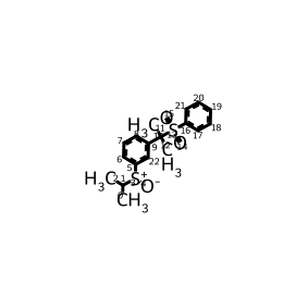 CC(C)[S+]([O-])c1cccc(C(C)(C)S(=O)(=O)c2ccccc2)c1